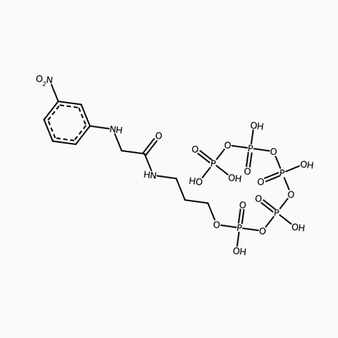 O=C(CNc1cccc([N+](=O)[O-])c1)NCCCOP(=O)(O)OP(=O)(O)OP(=O)(O)OP(=O)(O)OP(=O)(O)O